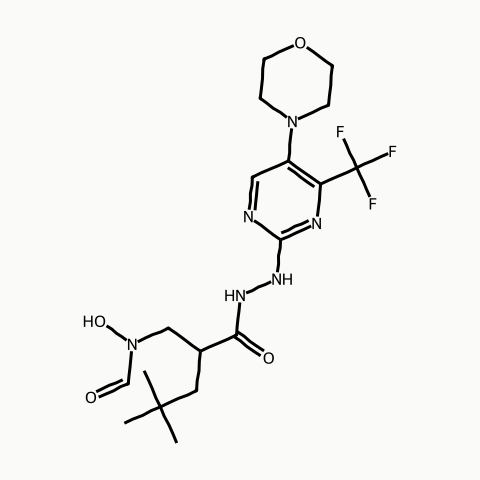 CC(C)(C)CC(CN(O)C=O)C(=O)NNc1ncc(N2CCOCC2)c(C(F)(F)F)n1